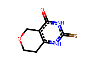 O=c1[nH]c(=S)[nH]c2c1COCC2